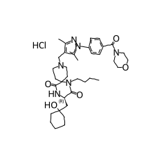 CCCCN1C(=O)[C@@H](CC2(O)CCCCC2)NC(=O)C12CCN(Cc1c(C)nn(-c3ccc(C(=O)N4CCOCC4)cc3)c1C)CC2.Cl